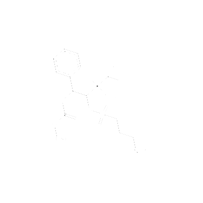 CCCCOC(=O)OC(c1ccccc1)C(OS(=O)(=O)CCCNC(C)=O)C(C)(C)[C@@H](O)C(=O)O